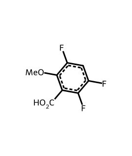 COc1c(F)cc(F)c(F)c1C(=O)O